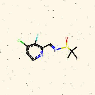 CC(C)(C)[S+]([O-])/N=C/c1nccc(Cl)c1F